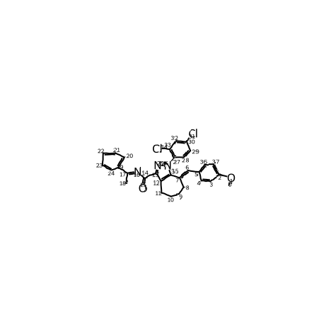 COc1ccc(/C=C2\CCCCc3c(C(=O)/N=C(\C)c4ccccc4)nn(-c4ccc(Cl)cc4Cl)c32)cc1